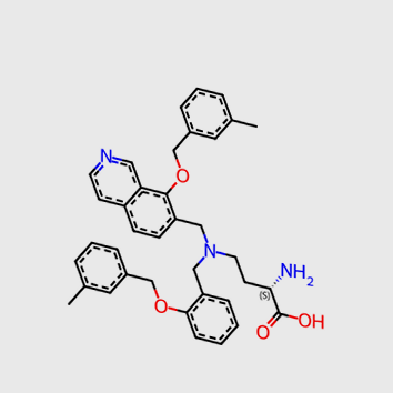 Cc1cccc(COc2ccccc2CN(CC[C@H](N)C(=O)O)Cc2ccc3ccncc3c2OCc2cccc(C)c2)c1